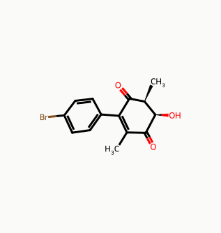 CC1=C(c2ccc(Br)cc2)C(=O)[C@@H](C)[C@@H](O)C1=O